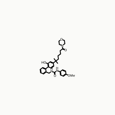 COc1ccc(NC(=O)NCc2ccccc2-c2ccc(C(C)(C)CCCCC(=O)N3CCOCC3)cc2O)cc1